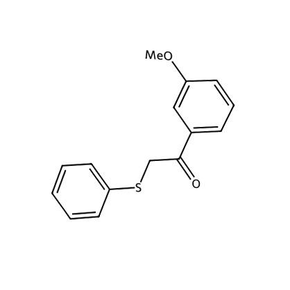 COc1cccc(C(=O)CSc2ccccc2)c1